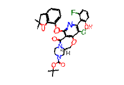 CC(C)(C)OC(=O)N1CCN2C(=O)c3c(Oc4cccc5c4OC(C)(C)C5)nc(-c4c(O)cccc4F)c(Cl)c3OC[C@H]2C1